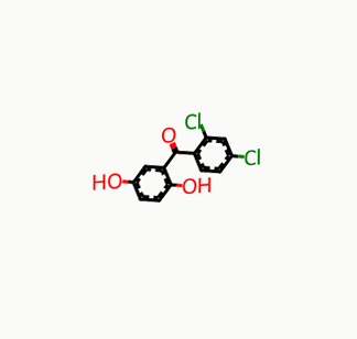 O=C(c1cc(O)ccc1O)c1ccc(Cl)cc1Cl